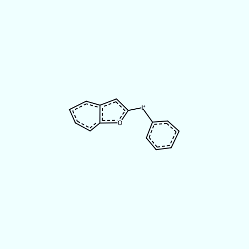 c1ccc([I+]c2cc3ccccc3o2)cc1